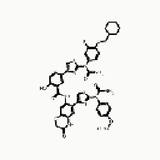 CCCCCCOc1ccc(N(C(N)=O)c2nc(-c3cc4c(cc3NC(=O)c3cc(-c5csc(N(C(N)=O)c6ccc(OCC7CCCCC7)c(F)c6)n5)ccc3O)OCC(=O)N4)cs2)cc1